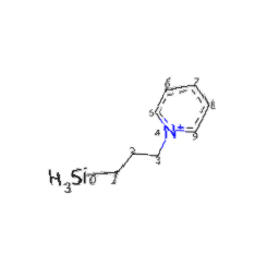 [SiH3]CCC[n+]1ccccc1